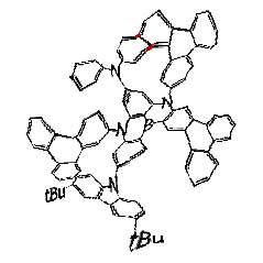 CC(C)(C)c1ccc2c(c1)c1cc(C(C)(C)C)ccc1n2-c1ccc2c(c1)N(c1ccc3c4ccccc4c4ccccc4c3c1)c1cc(N(c3ccccc3)c3ccccc3)cc3c1B2c1cc2c4ccccc4c4ccccc4c2cc1N3c1ccc2c3ccccc3c3ccccc3c2c1